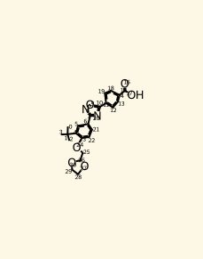 CC(C)(C)c1cc(-c2noc(-c3ccc(C(=O)O)cc3)n2)ccc1OCC1OCCO1